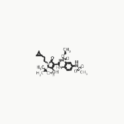 CCOP1(=O)N=C(C2=C(O)[C@H](C(C)(C)C)N(CCC3CC3)C2=O)Nc2ccc(NS(C)(=O)=O)cc21